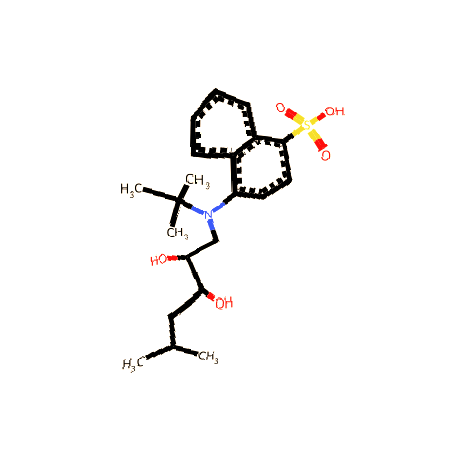 CC(C)CC(O)C(O)CN(c1ccc(S(=O)(=O)O)c2ccccc12)C(C)(C)C